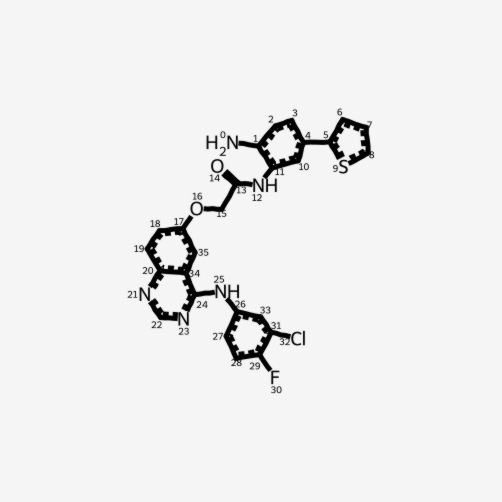 Nc1ccc(-c2cccs2)cc1NC(=O)COc1ccc2ncnc(Nc3ccc(F)c(Cl)c3)c2c1